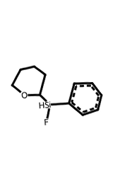 F[SiH](c1ccccc1)C1CCCCO1